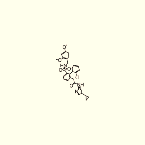 COc1ccc(CNS(=O)(=O)c2cccc(CC(=O)Nn3cc(C4CC4)cn3)c2-c2ccccc2Cl)c(OC)c1